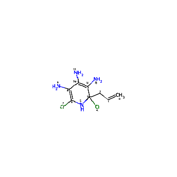 C=CCC1(Cl)NC(Cl)=C(N)C(N)=C1N